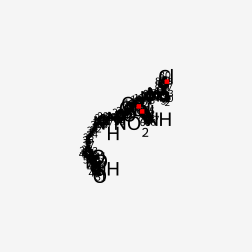 CC1(C)CCC(CN2CCN(c3ccc(C(=O)NS(=O)(=O)c4ccc(NCC5CCN(CCCCCC#Cc6ccc7c(c6)C(=O)N(C6CCC(=O)NC6=O)C7)CC5)c([N+](=O)[O-])c4)c(Oc4cnc5[nH]ccc5c4)c3)CC2)=C(c2ccc(Cl)cc2)C1